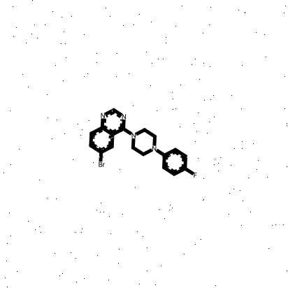 Fc1ccc(N2CCN(c3ncnc4ccc(Br)cc34)CC2)cc1